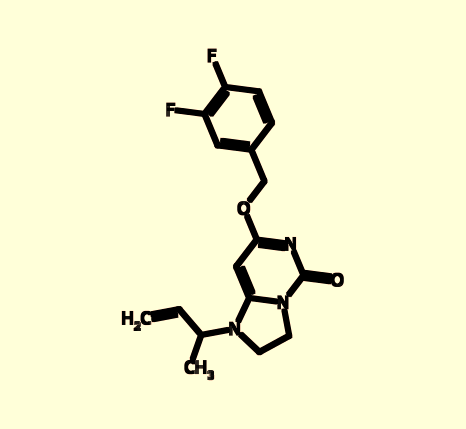 C=CC(C)N1CCn2c1cc(OCc1ccc(F)c(F)c1)nc2=O